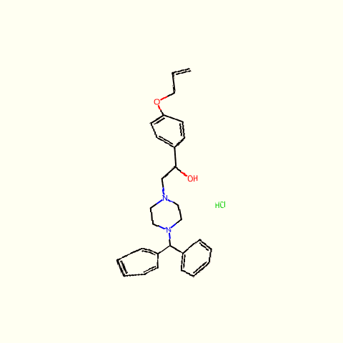 C=CCOc1ccc(C(O)CN2CCN(C(c3ccccc3)c3ccccc3)CC2)cc1.Cl